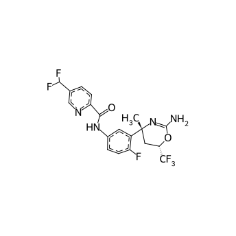 C[C@]1(c2cc(NC(=O)c3ccc(C(F)F)cn3)ccc2F)C[C@@H](C(F)(F)F)OC(N)=N1